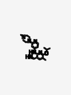 Cc1cc(C=N)c(Nc2ccnc(N3CCN(C)CC3)c2)nc1OC(C)C